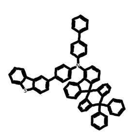 c1ccc(-c2ccc(N(c3ccc(-c4ccc5sc6ccccc6c5c4)cc3)c3cccc4c3-c3ccccc3C43c4ccccc4C(c4ccccc4)(c4ccccc4)c4ccccc43)cc2)cc1